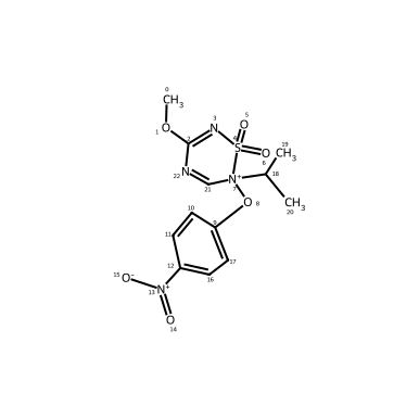 COC1=NS(=O)(=O)[N+](Oc2ccc([N+](=O)[O-])cc2)(C(C)C)C=N1